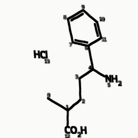 CC(CCC(N)c1ccccc1)C(=O)O.Cl